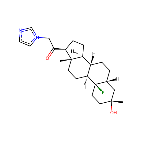 C[C@@]1(O)CC[C@@]2(F)[C@H](CC[C@H]3[C@@H]4CC[C@H](C(=O)Cn5ccnc5)[C@@]4(C)CC[C@@H]32)C1